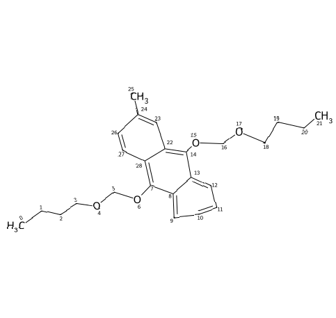 CCCCOCOc1c2ccccc2c(OCOCCCC)c2cc(C)ccc12